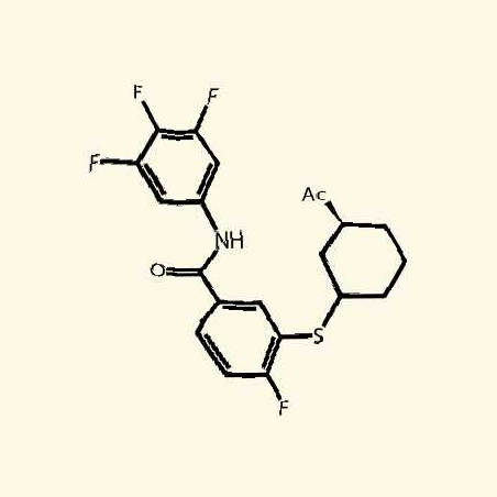 CC(=O)[C@H]1CCCC(Sc2cc(C(=O)Nc3cc(F)c(F)c(F)c3)ccc2F)C1